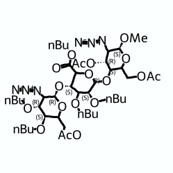 CCCCOC(=O)C1O[C@@H](O[C@@H]2C(COC(C)=O)O[C@H](OC)C(N=[N+]=[N-])[C@H]2OC(C)=O)[C@@H](OCCCC)C(OCCCC)[C@@H]1O[C@H]1OC(COC(C)=O)[C@@H](OCCCC)[C@H](OCCCC)C1N=[N+]=[N-]